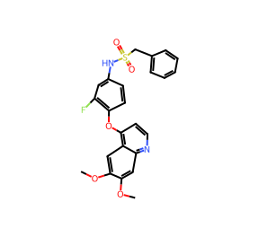 COc1cc2nccc(Oc3ccc(NS(=O)(=O)Cc4ccccc4)cc3F)c2cc1OC